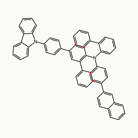 c1ccc(-c2ccccc2N(c2ccc(-c3ccc4ccccc4c3)cc2)c2ccc(-c3ccc(-n4c5ccccc5c5ccccc54)cc3)cc2-c2ccccc2)cc1